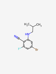 CC(C)CNc1cc(Br)cc(F)c1C#N